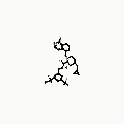 O=C(NCc1cc(C(F)(F)F)cc(C(F)(F)F)c1)C1CC(CC2CC2)CCN1Cc1cccc2c(=O)[nH]ccc12